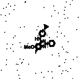 COc1cc2c(NC3CCN(C4CC4)CC3)nc(N3CCCCC3)nc2cc1I